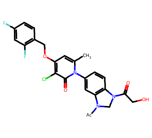 CC(=O)N1CN(C(=O)CO)c2ccc(-n3c(C)cc(OCc4ccc(F)cc4F)c(Cl)c3=O)cc21